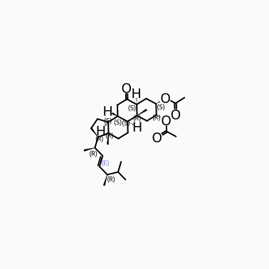 CC(=O)O[C@H]1C[C@@H]2C(=O)C[C@@H]3[C@H](CC[C@]4(C)[C@@H]([C@H](C)/C=C/[C@H](C)C(C)C)CC[C@@H]34)[C@@]2(C)C[C@H]1OC(C)=O